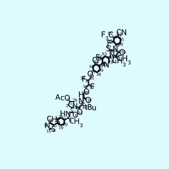 CC(=O)O[C@@H]1C[C@@H](C(=O)N[C@@H](C)c2ccc(-c3scnc3C)cc2)N(C(=O)[C@@H](NC(=O)COCC(F)C(F)COc2ccc(-c3ncc(N4C(=S)N(c5ccc(C#N)c(C(F)(F)F)c5F)C(=O)C4(C)C)cc3F)c(C(F)(F)F)c2)C(C)(C)C)C1